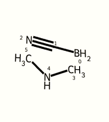 BC#N.CNC